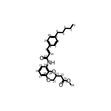 CCCCCc1ccc(C=CC(=O)Nc2cccc3c2OC(CC(=O)OC)CO3)cc1